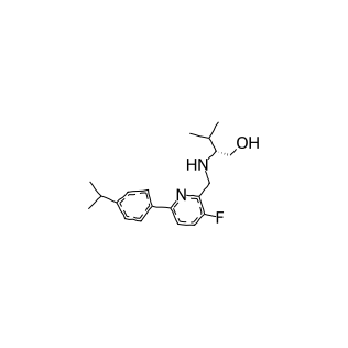 CC(C)c1ccc(-c2ccc(F)c(CN[C@@H](CO)C(C)C)n2)cc1